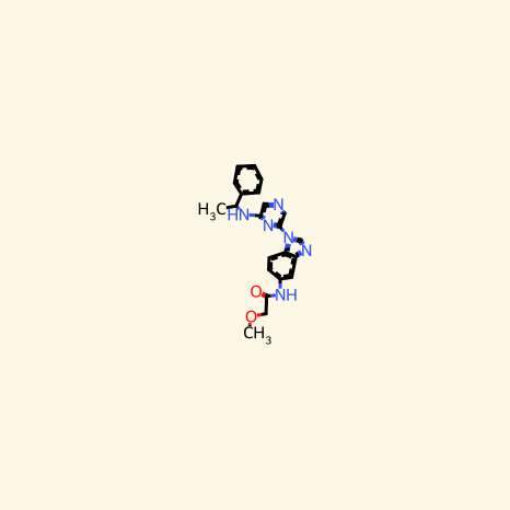 COCC(=O)Nc1ccc2c(c1)ncn2-c1cncc(NC(C)c2ccccc2)n1